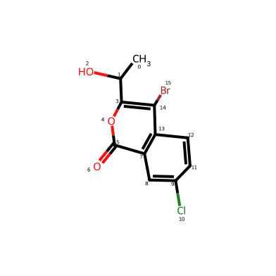 CC(O)c1oc(=O)c2cc(Cl)ccc2c1Br